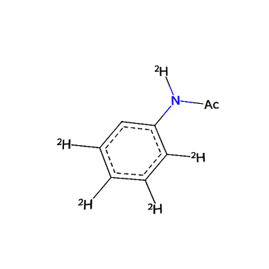 [2H]c1cc(N([2H])C(C)=O)c([2H])c([2H])c1[2H]